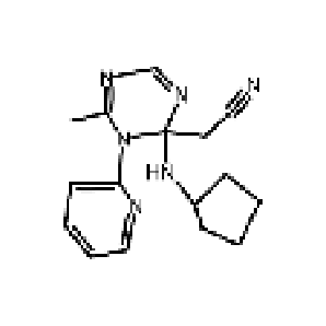 CC1=NC=NC(CC#N)(NC2CCCC2)N1c1ccccn1